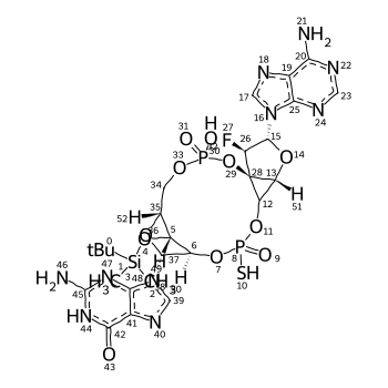 CC(C)(C)[Si](C)(C)O[C@H]1[C@H]2OP(=O)(S)OC3[C@H]4O[C@@H](n5cnc6c(N)ncnc65)[C@H](F)[C@@]34OP(=O)(O)OC[C@H]1O[C@H]2n1cnc2c(=O)[nH]c(N)nc21